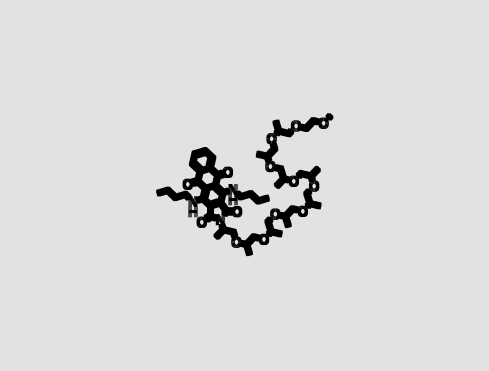 CCCCNc1c2c(=O)c3ccccc3c(=O)c2c(NCCCC)c2c(=O)n(C(C)COC(C)COC(C)COC(C)COC(C)COC(C)COC(C)COC(C)COC(C)COCCOC)c(=O)c12